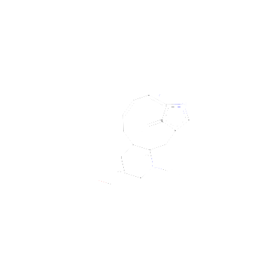 C=c1c2c[nH]/c1=C/C=C\CC1C[C@@H](CO)CN(C)[C@@H]1C2